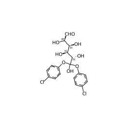 O=C[C@H](O)[C@@H](O)[C@H](O)[C@H](O)C(O)(Oc1ccc(Cl)cc1)Oc1ccc(Cl)cc1